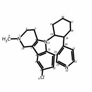 CN1CCc2c(c3cc(Cl)ccc3n2C2CCCCC2c2ccncc2)C1